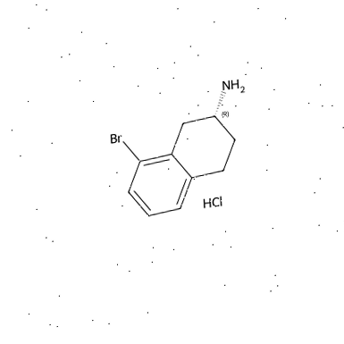 Cl.N[C@@H]1CCc2cccc(Br)c2C1